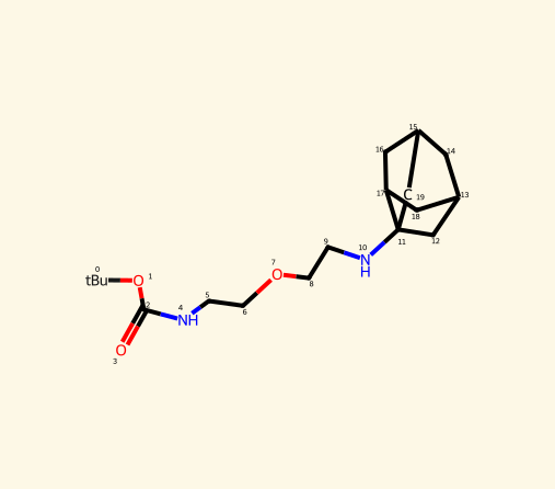 CC(C)(C)OC(=O)NCCOCCNC12CC3CC(CC1C3)C2